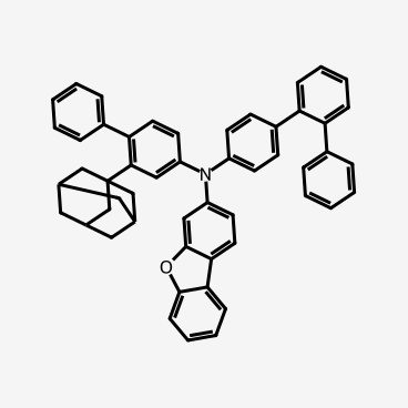 c1ccc(-c2ccccc2-c2ccc(N(c3ccc(-c4ccccc4)c(C45CC6CC(CC(C6)C4)C5)c3)c3ccc4c(c3)oc3ccccc34)cc2)cc1